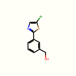 OCc1cccc(-c2ncc(Br)s2)c1